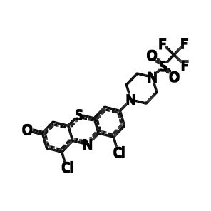 O=c1cc2sc3cc(N4CCN(S(=O)(=O)C(F)(F)F)CC4)cc(Cl)c3nc-2c(Cl)c1